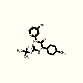 CC1CCC([C@H](NC(=O)OC(C)(C)C)C(=O)Nc2cc(O)ccn2)CC1